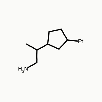 CCC1CCC(C(C)CN)C1